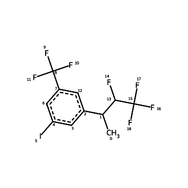 CC(c1cc(I)[c]c(C(F)(F)F)c1)C(F)C(F)(F)F